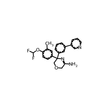 Cc1cc(C2(c3cccc(-c4cccnc4)c3)COCC(N)=N2)ccc1OC(F)F